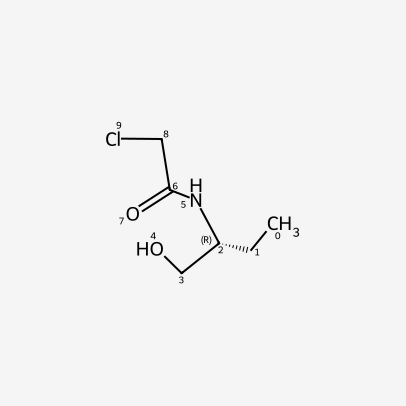 CC[C@H](CO)NC(=O)CCl